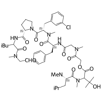 CCC(C)C(NC(=O)[C@@H]1CCCN1C(=O)[C@H](Cc1cccc(Cl)c1)N(C)C(=O)[C@H](Cc1ccccc1)NC(=O)CN(C)C(=O)COC(=O)C(N(C)C(=O)[C@H](CC(C)C)NC)C(C)(C)O)C(=O)N(C)CC=O